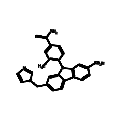 Cc1cc(C(N)=O)ccc1-n1c2cc(Cn3ccnc3)ccc2c2ccc(C(=O)O)cc21